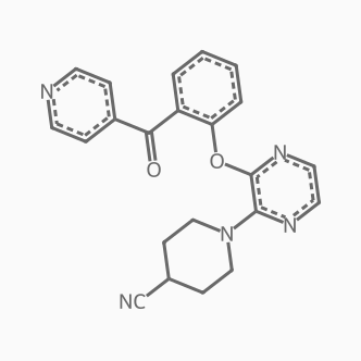 N#CC1CCN(c2nccnc2Oc2ccccc2C(=O)c2ccncc2)CC1